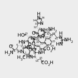 C[C@H](NC(=O)[C@H](CCC(N)=O)NC(=O)[C@H](CO)NC(=O)[C@H](Cc1ccccc1)NC(=O)[C@H](Cc1c[nH]cn1)NC(=O)[C@@H](N)CCCNC(=N)N)C(=O)N[C@@H](CCC(=O)O)C(=O)N[C@@H](CC(=O)O)C(=O)O